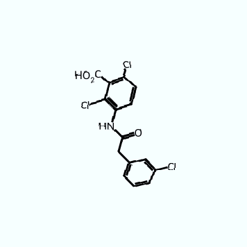 O=C(Cc1cccc(Cl)c1)Nc1ccc(Cl)c(C(=O)O)c1Cl